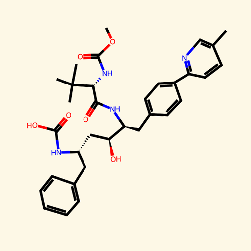 COC(=O)N[C@H](C(=O)N[C@@H](Cc1ccc(-c2ccc(C)cn2)cc1)[C@@H](O)C[C@H](Cc1ccccc1)NC(=O)O)C(C)(C)C